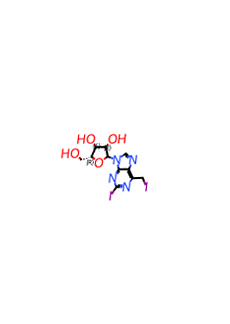 OC[C@H]1OC(n2cnc3c(CI)nc(I)nc32)[C@H](O)[C@@H]1O